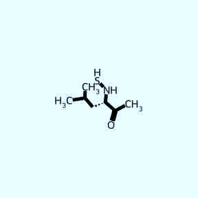 CC(=O)[C@H](CC(C)C)NS